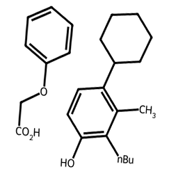 CCCCc1c(O)ccc(C2CCCCC2)c1C.O=C(O)COc1ccccc1